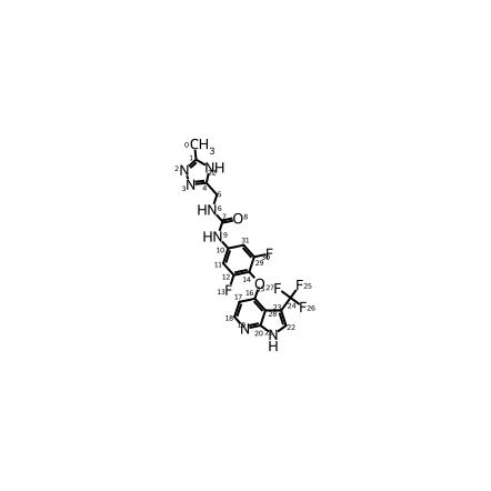 Cc1nnc(CNC(=O)Nc2cc(F)c(Oc3ccnc4[nH]cc(C(F)(F)F)c34)c(F)c2)[nH]1